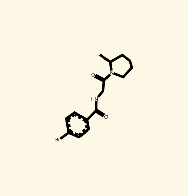 CC1CCCCN1C(=O)CNC(=O)c1ccc(Br)cc1